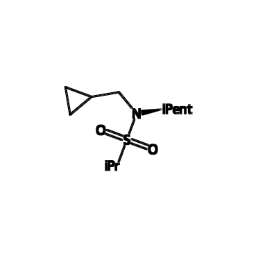 CCC[C@H](C)N(CC1CC1)S(=O)(=O)C(C)C